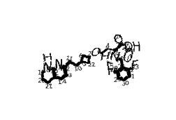 O=C(N[C@@H](CCOC1CC(CCc2ccc3c(n2)NCCC3)C1)C(=O)O)c1c(F)cccc1F